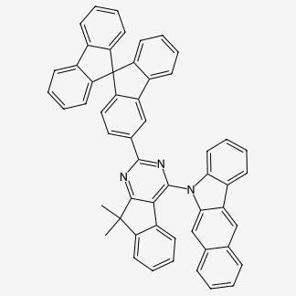 CC1(C)c2ccccc2-c2c(-n3c4ccccc4c4cc5ccccc5cc43)nc(-c3ccc4c(c3)-c3ccccc3C43c4ccccc4-c4ccccc43)nc21